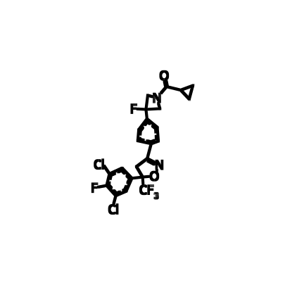 O=C(C1CC1)N1CC(F)(c2ccc(C3=NOC(c4cc(Cl)c(F)c(Cl)c4)(C(F)(F)F)C3)cc2)C1